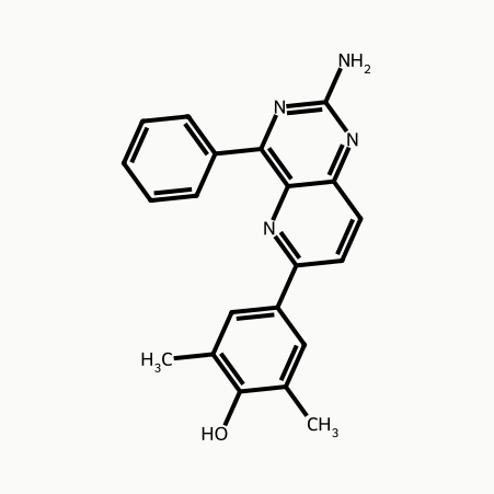 Cc1cc(-c2ccc3nc(N)nc(-c4ccccc4)c3n2)cc(C)c1O